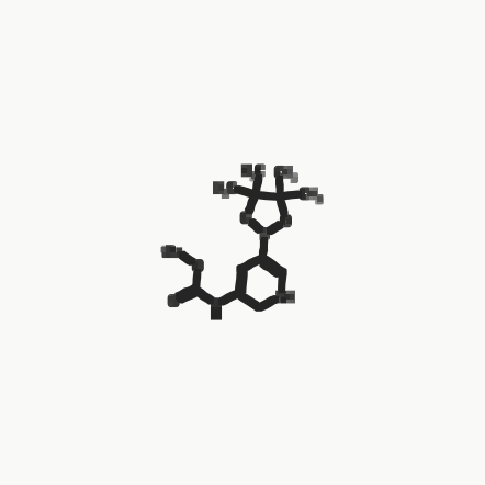 CC(C)(C)OC(=O)NC1=CC(B2OC(C)(C)C(C)(C)O2)=CNC1